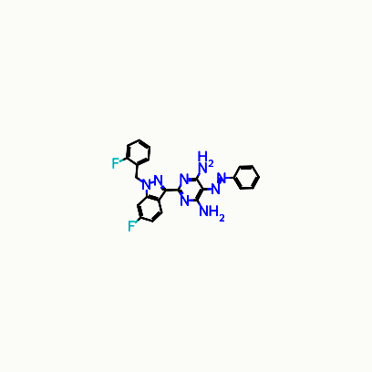 Nc1nc(-c2nn(Cc3ccccc3F)c3cc(F)ccc23)nc(N)c1/N=N/c1ccccc1